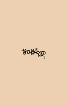 CC(C)(C)OC(=O)N1CCN(c2ncc(-c3cc(N)c(N4CCOCC4)cc3F)cn2)CC1